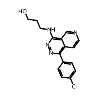 OCCCNc1nnc(-c2ccc(Cl)cc2)c2ccncc12